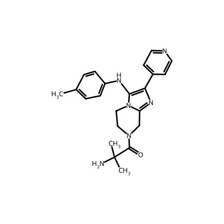 Cc1ccc(Nc2c(-c3ccncc3)nc3n2CCN(C(=O)C(C)(C)N)C3)cc1